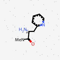 CNC(=O)[C@H](N)Cc1ccccn1